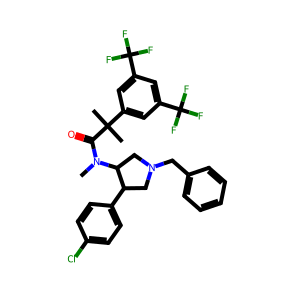 CN(C(=O)C(C)(C)c1cc(C(F)(F)F)cc(C(F)(F)F)c1)C1CN(Cc2ccccc2)CC1c1ccc(Cl)cc1